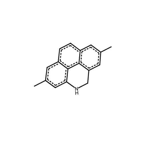 Cc1cc2c3c(ccc4cc(C)cc(c43)NC2)c1